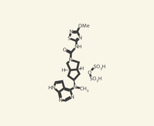 COc1nsc(NC(=O)N2C[C@H]3C[C@@H](N(C)c4ncnc5[nH]ccc45)C[C@H]3C2)n1.O=S(=O)(O)OS(=O)(=O)O